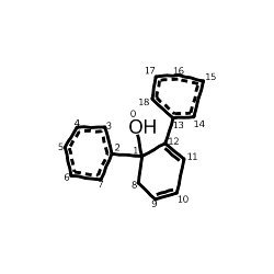 OC1(c2ccccc2)CC=CC=C1c1ccccc1